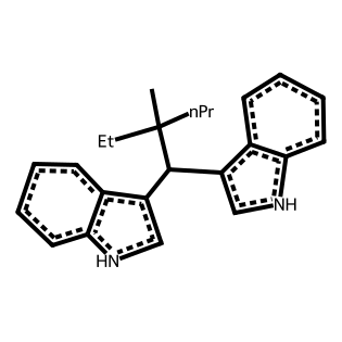 CCCC(C)(CC)C(c1c[nH]c2ccccc12)c1c[nH]c2ccccc12